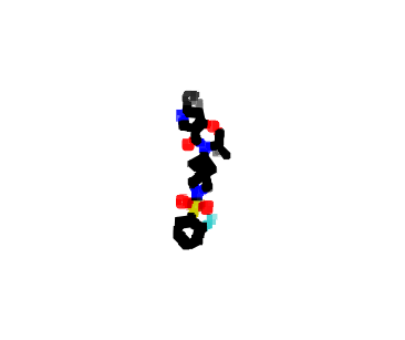 C[C@@H]1COc2cc(C(F)(F)F)ncc2C(=O)N1C1CC2(C1)CN(S(=O)(=O)c1ccccc1F)C2